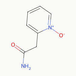 NC(=O)Cc1cccc[n+]1[O-]